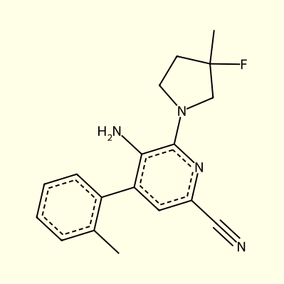 Cc1ccccc1-c1cc(C#N)nc(N2CCC(C)(F)C2)c1N